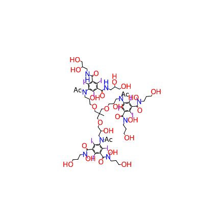 CC(=O)N(CC(O)COCC(C)(COCC(O)CN(C(C)=O)c1c(I)c(C(=O)N(O)CCCO)c(I)c(C(=O)N(O)CCCO)c1I)COCC(O)CN(C(C)=O)c1c(I)c(C(=O)N(O)CCCO)c(I)c(C(=O)N(O)CCCO)c1I)c1c(I)c(C(=O)NCC(O)CO)c(I)c(C(=O)NCC(O)CO)c1I